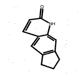 O=c1ccc2cc3c(cc2[nH]1)CCC3